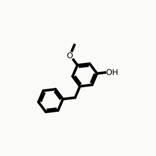 COc1cc(O)cc(Cc2ccccc2)c1